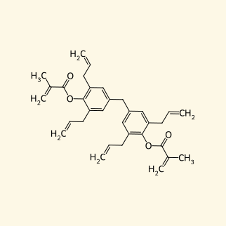 C=CCc1cc(Cc2cc(CC=C)c(OC(=O)C(=C)C)c(CC=C)c2)cc(CC=C)c1OC(=O)C(=C)C